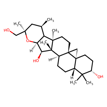 C[C@@H]1C[C@](C)(CO)O[C@H]2C1[C@@]1(C)CC[C@@]34C[C@@]35CC[C@H](O)C(C)(C)[C@@H]5CC[C@H]4[C@]1(C)[C@H]2O